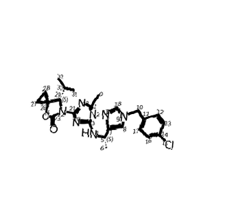 Cc1nc(N[C@@H](C)c2cn(Cc3ccc(Cl)cc3)cn2)nc(N2C(=O)OC3(CC3)[C@@H]2C(C)C)n1